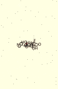 C[C@]12C=CC(=O)C=C1[C@@H](F)C[C@H]1[C@@H]3C[C@H]4CN(Cc5cccc6ncccc56)O[C@@]4(C(=O)CO)[C@@]3(C)C[C@H](O)[C@@]12F